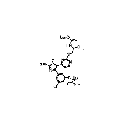 CCCS(=O)(=O)Nc1cc(Cl)cc(-c2nc(C(C)(C)C)[nH]c2-c2ccnc(NCC(C)NC(=O)OC)n2)c1